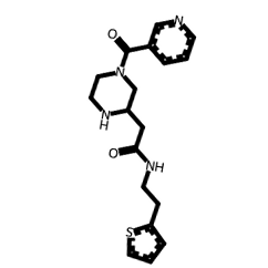 O=C(CC1CN(C(=O)c2cccnc2)CCN1)NCCc1cccs1